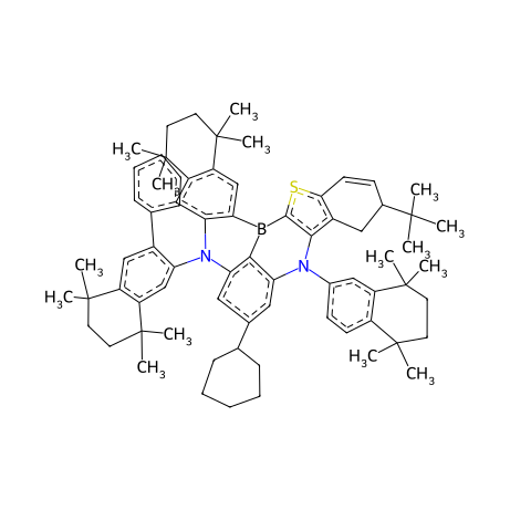 CC1(C)CCC(C)(C)c2cc(N3c4cc(C5CCCCC5)cc5c4B(c4cc6c(cc4N5c4cc5c(cc4-c4ccccc4)C(C)(C)CCC5(C)C)C(C)(C)CCC6(C)C)c4sc5c(c43)CC(C(C)(C)C)C=C5)ccc21